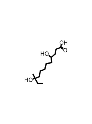 CCC(C)(O)CCCCCC(O)CCC(=O)O